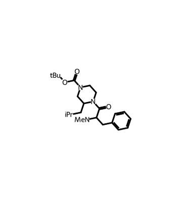 CNC(Cc1ccccc1)C(=O)N1CCN(C(=O)OC(C)(C)C)CC1CC(C)C